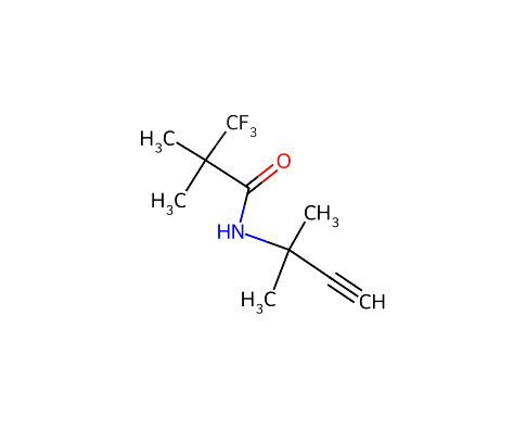 C#CC(C)(C)NC(=O)C(C)(C)C(F)(F)F